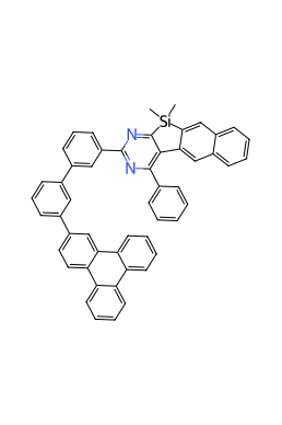 C[Si]1(C)c2cc3ccccc3cc2-c2c(-c3ccccc3)nc(-c3cccc(-c4cccc(-c5ccc6c7ccccc7c7ccccc7c6c5)c4)c3)nc21